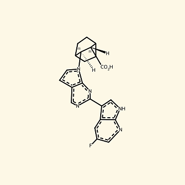 O=C(O)[C@H]1C2CCC(CC2)[C@@H]1n1ccc2cnc(-c3c[nH]c4ncc(F)cc34)nc21